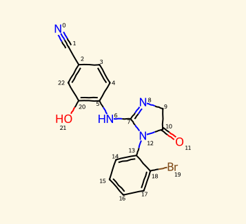 N#Cc1ccc(NC2=NCC(=O)N2c2ccccc2Br)c(O)c1